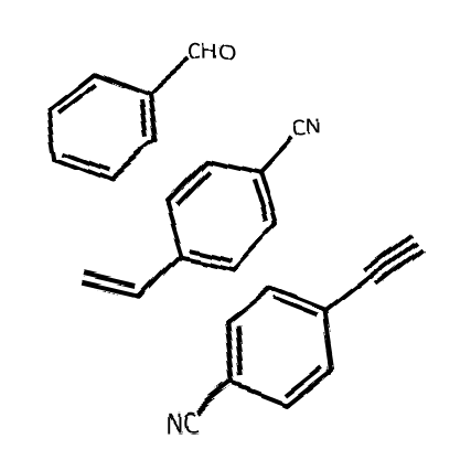 C#Cc1ccc(C#N)cc1.C=Cc1ccc(C#N)cc1.O=Cc1ccccc1